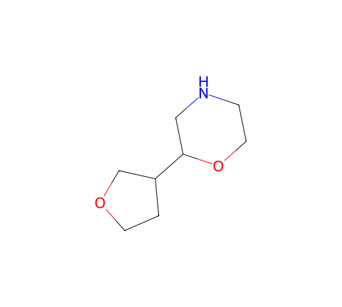 C1COC(C2CCOC2)CN1